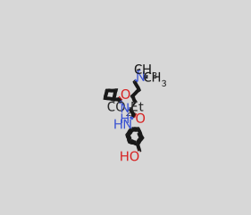 CCOC(=O)C1(C(=O)N[C@@H](CCCCN(C)C)C(=O)Nc2ccc(CO)cc2)CCC1